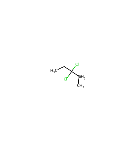 CCC(Cl)(Cl)[SiH2]C